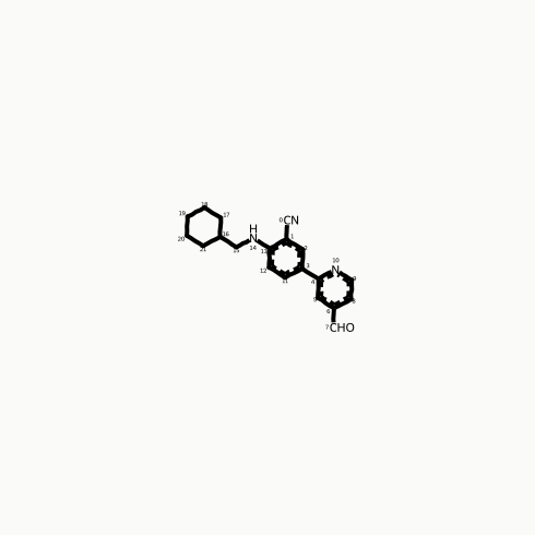 N#Cc1cc(-c2cc(C=O)ccn2)ccc1NCC1CCCCC1